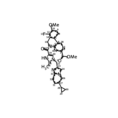 COC(=O)c1ncc(-c2ccc(OC)c(F)c2CNC(=O)C2=CN(Cc3cn4cc(C5CC5)ccc4n3)N(C)N2)cn1